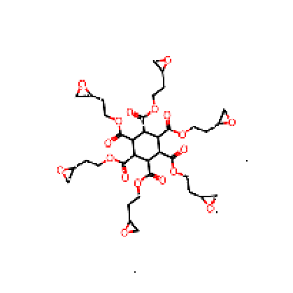 O=C(OCCC1CO1)C1C(C(=O)OCCC2CO2)C(C(=O)OCCC2CO2)C(C(=O)OCCC2CO2)C(C(=O)OCCC2CO2)C1C(=O)OCCC1CO1